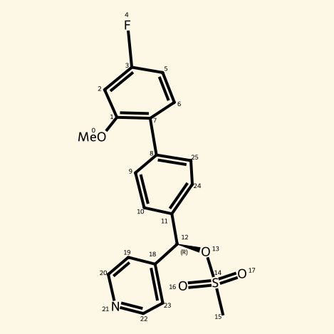 COc1cc(F)ccc1-c1ccc([C@@H](OS(C)(=O)=O)c2ccncc2)cc1